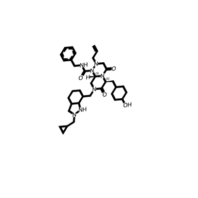 C=CCN1CC(=O)N2[C@@H](CC3CCC(O)CC3)C(=O)N(CC3CCCC4CN(CC5CC5)NC43)C[C@@H]2N1C(=O)NCc1ccccc1